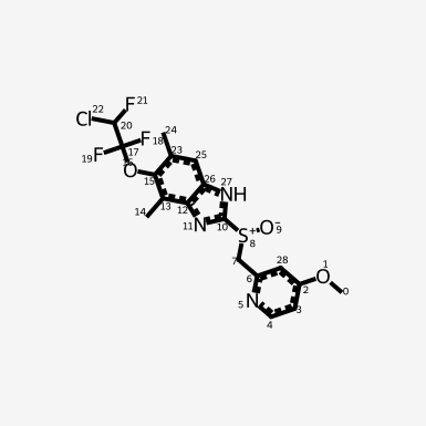 COc1ccnc(C[S+]([O-])c2nc3c(C)c(OC(F)(F)C(F)Cl)c(C)cc3[nH]2)c1